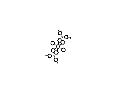 C=Cc1ccc(N(c2ccc(C)cc2)c2ccc3c4c(-c5ccccc5)c5c6cccc7c(N(c8ccc(C)cc8)c8ccc(C)cc8)ccc(c5c(-c5ccccc5)c4c4cccc2c43)c76)cc1